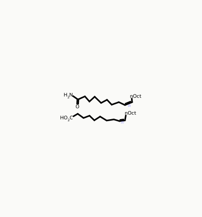 CCCCCCCC/C=C\CCCCCCCC(=O)O.CCCCCCCC/C=C\CCCCCCCC(N)=O